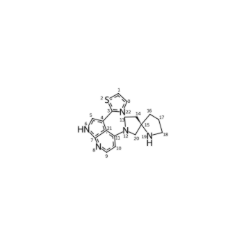 c1csc(-c2c[nH]c3nccc(N4CC[C@]5(CCCN5)C4)c23)n1